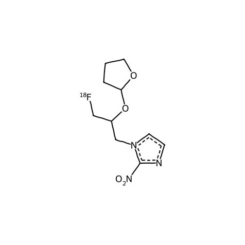 O=[N+]([O-])c1nccn1CC(C[18F])OC1CCCO1